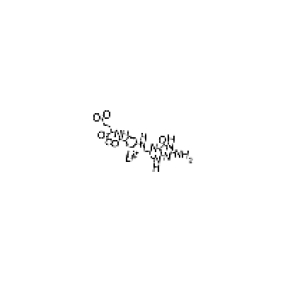 Nc1nc2c(c(=O)[nH]1)N=C(CNc1ccc(C(=O)NC(CCC(=O)[O-])C(=O)[O-])cc1)CN2.[Li+].[Li+]